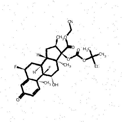 CCC(C)(C)OC(=O)O[C@]1(C(=O)OCC#N)[C@H](C)C[C@H]2[C@@H]3C[C@H](F)C4=CC(=O)C=C[C@]4(C)[C@@]3(F)[C@@H](O)C[C@@]21C